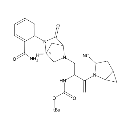 C=C(C(CN1C[C@@H]2CC1C(=O)N2c1ccccc1C(N)=O)NC(=O)OC(C)(C)C)N1C(C#N)CC2CC21